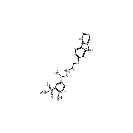 CNS(=O)(=O)c1cc([C@@H](O)CNCCOc2ccc3c(c2)[nH]c2ccccc23)ccc1O